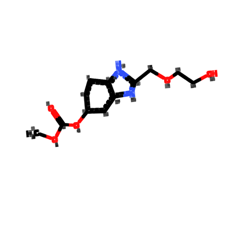 COC(=O)Oc1ccc2[nH]c(COCCO)nc2c1